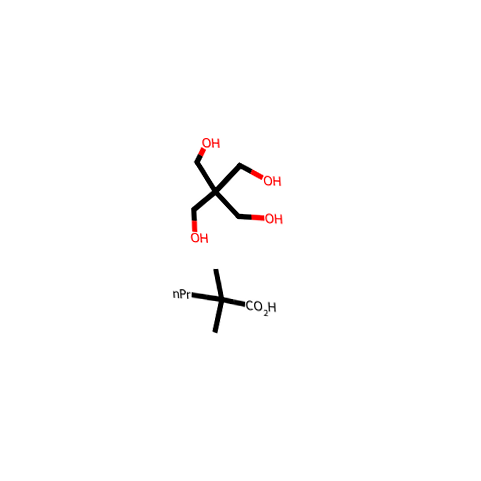 CCCC(C)(C)C(=O)O.OCC(CO)(CO)CO